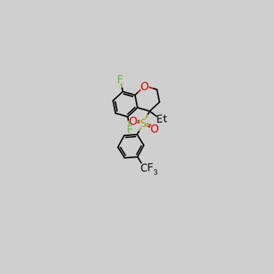 CCC1(S(=O)(=O)c2cccc(C(F)(F)F)c2)CCOc2c(F)ccc(F)c21